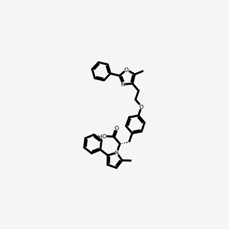 Cc1oc(-c2ccccc2)nc1CCOc1ccc(C[C@@H](C(=O)O)n2c(C)ccc2-c2ccccc2)cc1